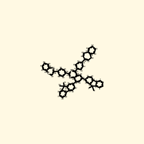 CC1(C)c2ccccc2-c2ccc(-c3cc(-c4ccc5c(c4)C(C)(C)c4ccccc4-5)c4nc(-c5ccc(-c6ccc7ccccc7n6)cc5)nc(-c5ccc(C6=CCc7ccccc7C=C6)cc5)c4c3)cc21